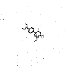 CCN1N=C(c2ccc(N(CC)CC)cc2)[C@H](C)CC1=O